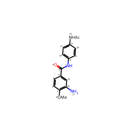 COc1ccc(C(=O)Nc2ccc(NC(C)=O)cc2)cc1N